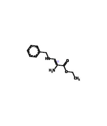 CCOC(=O)/C(N)=C/NCc1ccccc1